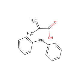 C=C(C)C(=O)O.c1cc[c]([Pb][c]2ccccc2)cc1